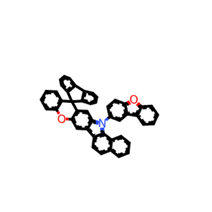 c1ccc2c(c1)Oc1cc3c4ccc5ccccc5c4n(-c4ccc5oc6ccccc6c5c4)c3cc1C21c2ccccc2-c2ccccc21